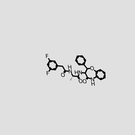 C[C@H](NC(=O)Cc1cc(F)cc(F)c1)C(=O)NC1C(=O)Nc2ccccc2OC1c1ccccc1